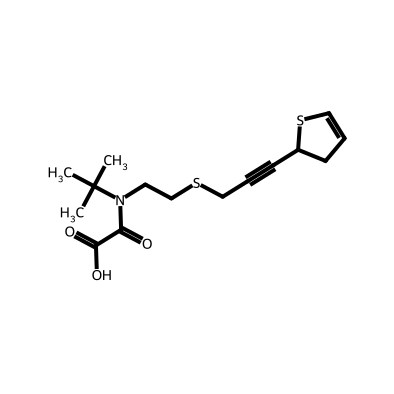 CC(C)(C)N(CCSCC#CC1CC=CS1)C(=O)C(=O)O